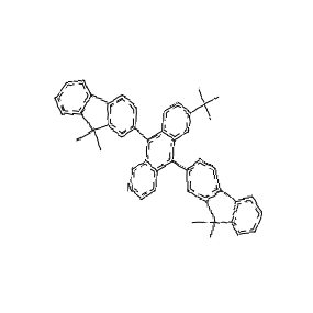 CC(C)(C)c1ccc2c(-c3ccc4c(c3)C(C)(C)c3ccccc3-4)c3cnccc3c(-c3ccc4c(c3)C(C)(C)c3ccccc3-4)c2c1